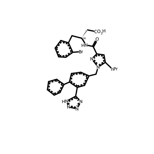 CCCc1cc(C(=O)N[C@@H](CC(=O)O)Cc2ccccc2Br)nn1Cc1ccc(-c2ccccc2)c(-c2nnn[nH]2)c1